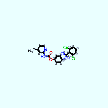 Cc1ccnc(NC(=O)Oc2ccc3[nH]c(-c4c(Cl)cccc4Cl)nc3c2)c1